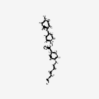 CCCCCCCc1ccc(C(=O)Oc2ccc(-c3ccc(C)cc3)cc2)cc1